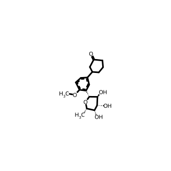 COc1ccc(C2CCCC(=O)C2)cc1[C@H]1O[C@@H](C)[C@@H](O)[C@@H](O)[C@@H]1O